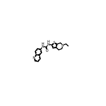 CCN1CCc2cc(NC(=O)Nc3ccc4ncccc4c3)sc2C1